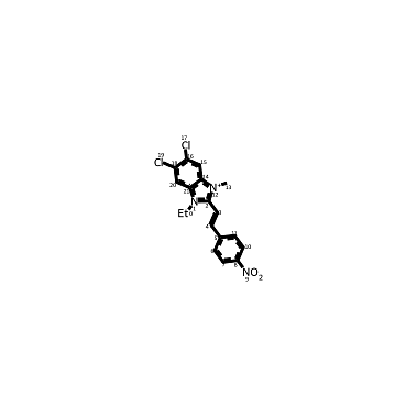 CCn1c(C=Cc2ccc([N+](=O)[O-])cc2)[n+](C)c2cc(Cl)c(Cl)cc21